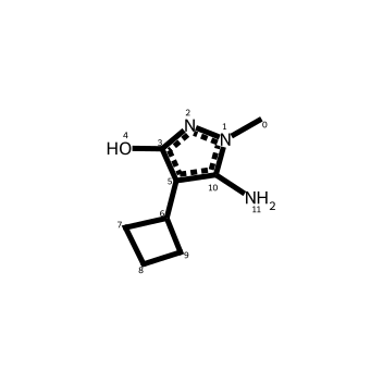 Cn1nc(O)c(C2CCC2)c1N